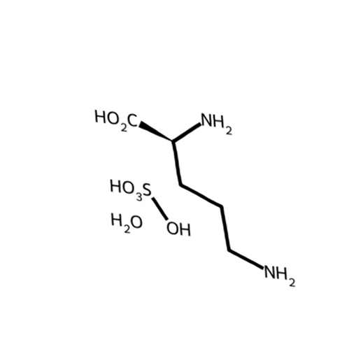 NCCC[C@H](N)C(=O)O.O.O=S(=O)(O)O